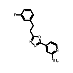 Nc1cc(-c2nnc(CCc3cccc(F)c3)o2)ccn1